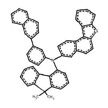 CC1(C)c2ccccc2-c2c(N(c3cccc(-c4ccc5ccccc5c4)c3)c3ccc4c(ccc5sc6ccccc6c54)c3)cccc21